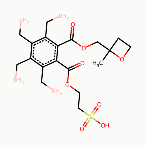 BCc1c(CB)c(CB)c(C(=O)OCC2(C)CCO2)c(C(=O)OCCS(=O)(=O)O)c1CB